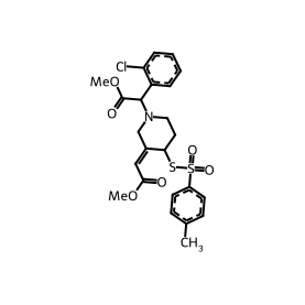 COC(=O)/C=C1/CN(C(C(=O)OC)c2ccccc2Cl)CCC1SS(=O)(=O)c1ccc(C)cc1